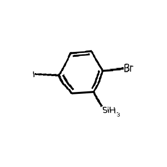 [SiH3]c1cc(I)ccc1Br